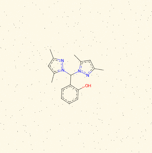 Cc1cc(C)n(C(c2ccccc2O)n2nc(C)cc2C)n1